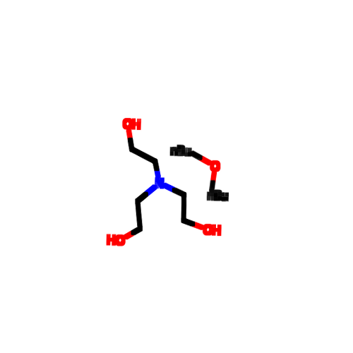 CCCCOCCCC.OCCN(CCO)CCO